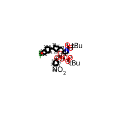 CC(C)(C)OC(=O)O[C@H]1CN(C(=O)OC(C)(C)C)[C@H](Cc2ccc(-c3ccc4c(c3)CC(F)(F)C4)cc2)[C@@H]1OC(=O)Oc1ccc([N+](=O)[O-])cc1